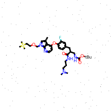 Cc1cn(COCCS(C)(C)C)c2nccc(Oc3ccc(CC(CNC(=O)OC(C)(C)C)C(=O)NCCCN(C)C)cc3F)c12